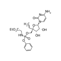 C=C[C@]1(COP(=O)(NCC(=O)OCC)Oc2ccccc2)O[C@@H](n2ccc(N)nc2=O)[C@H](O)[C@@H]1O